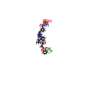 Cc1c(Cl)cccc1OCC1CC1C(=O)N1C[C@@H]2C[C@@H]2c2c(-c3cnn(Cc4cccc(C(=O)NCS(=O)(=O)O)c4)c3)cccc21